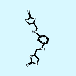 O=C1OCC(CNc2cccc(NCC3COC(=O)O3)c2)O1